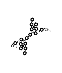 C=Cc1ccc(Oc2ccc(C3(c4ccccc4)c4cc(-c5ccccc5)ccc4-c4ccc(N(c5ccccc5)c5ccc(-c6ccc(N(c7ccccc7)c7ccc8c(c7)C(c7ccccc7)(c7ccc(Oc9ccc(C=C)cc9)cc7)c7cc(-c9ccccc9)ccc7-8)cc6)cc5)cc43)cc2)cc1